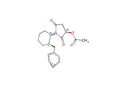 CC(=O)O[C@@H]1CC(=O)N([C@@H]2CCCC[C@@H]2Cc2ccccc2)C1=O